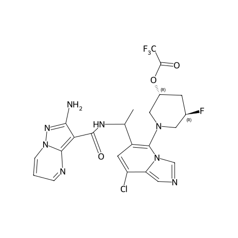 CC(NC(=O)c1c(N)nn2cccnc12)c1cc(Cl)c2cncn2c1N1C[C@H](F)C[C@@H](OC(=O)C(F)(F)F)C1